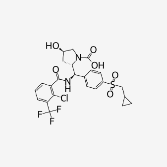 O=C(N[C@H](c1ccc(S(=O)(=O)CC2CC2)cc1)[C@@H]1C[C@@H](O)CN1C(=O)O)c1cccc(C(F)(F)F)c1Cl